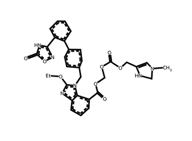 CCOc1nc2cccc(C(=O)OCOC(=O)OCC3=CN(C)CN3)c2n1Cc1ccc(-c2ccccc2-c2noc(=O)[nH]2)cc1